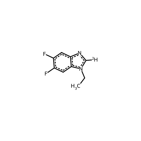 [2H]c1nc2cc(F)c(F)cc2n1CC